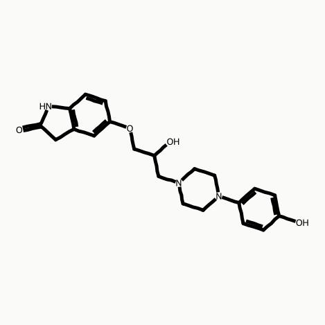 O=C1Cc2cc(OCC(O)CN3CCN(c4ccc(O)cc4)CC3)ccc2N1